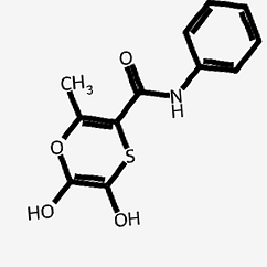 CC1=C(C(=O)Nc2ccccc2)SC(O)=C(O)O1